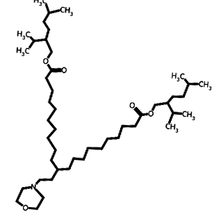 CC(C)CCC(COC(=O)CCCCCCCCCC(CCCCCCCCCC(=O)OCC(CCC(C)C)C(C)C)CCN1CCOCC1)C(C)C